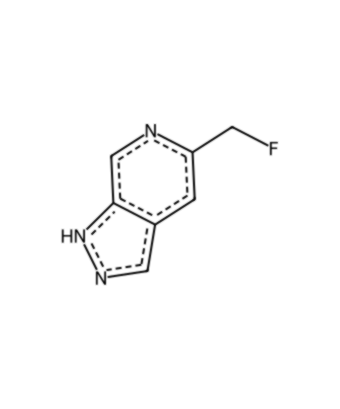 FCc1cc2cn[nH]c2cn1